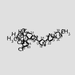 CC(=O)[C@@H](OC(C)(C)C)c1c(C)cc2nc(-c3ccnc(-c4ccc(N5CCN(C)CC5)nc4)c3)sc2c1-c1ccc(Cl)cc1